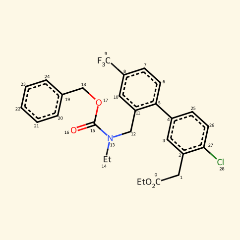 CCOC(=O)Cc1cc(-c2ccc(C(F)(F)F)cc2CN(CC)C(=O)OCc2ccccc2)ccc1Cl